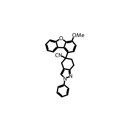 [C-]#[N+]C1(c2ccc(OC)c3oc4ccccc4c23)CCc2nn(-c3ccccc3)cc2C1